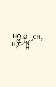 C=CCNC(C=C)C(=O)C(=O)O